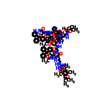 CCC(C)(CC)OC(=O)C[C@H](NC(=O)CNC(=O)[C@H](CCCNC(=N)NS(=O)(=O)c1c(C)c(C)c2c(c1C)CC(C)(C)O2)NC(=O)[C@H](CSC(c1ccccc1)(c1ccccc1)c1ccccc1)NC(C)=O)C(=O)N[C@@H](CCCCNC(=O)OC(C)(C)C)C(=O)NCC(=O)N1CCC[C@H]1C(=O)N[C@@H](CC(=O)OC(C)(CC)CC)C(=O)N[C@@H](CSC(c1ccccc1)(c1ccccc1)c1ccccc1)C(N)=O